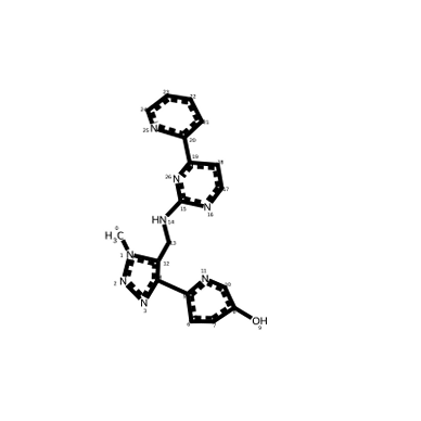 Cn1nnc(-c2ccc(O)cn2)c1CNc1nccc(-c2ccccn2)n1